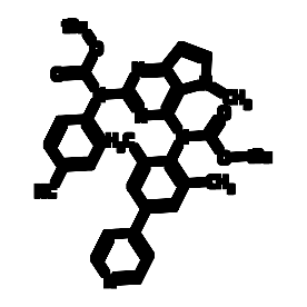 Cc1cc(-c2ccncc2)cc(C)c1N(C(=O)OC(C)(C)C)c1nc(N(C(=O)OC(C)(C)C)c2ccc(C#N)cc2)nc2ccn(C)c12